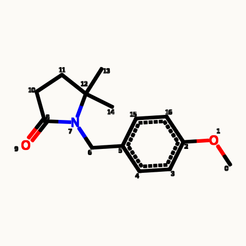 COc1ccc(CN2C(=O)CCC2(C)C)cc1